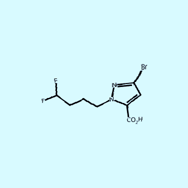 O=C(O)c1cc(Br)nn1CCCC(F)F